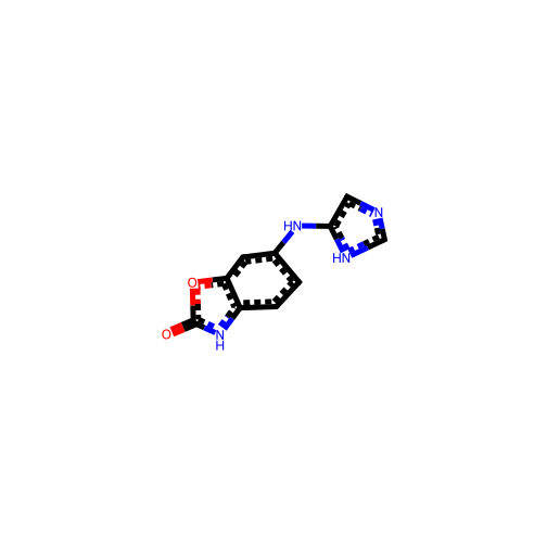 O=c1[nH]c2ccc(Nc3cnc[nH]3)cc2o1